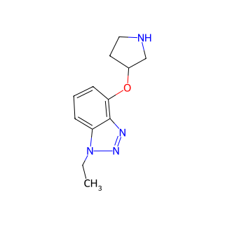 CCn1nnc2c(OC3CCNC3)cccc21